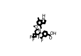 COc1cc(C)c2[nH]ccc2c1CN1CCC2(C[C@H]1c1ccc(C(=O)O)cc1C(F)F)CC(F)(F)C2